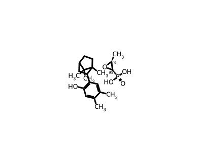 C[C@@H]1O[C@@H]1P(=O)(O)O.Cc1cc(O)c(C2CC3CCC2(C)C3(C)C)cc1C